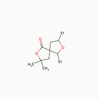 CCC1CC2(CC(C)(C)OC2=O)C(CC)O1